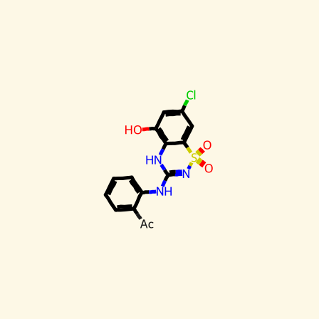 CC(=O)c1ccccc1NC1=NS(=O)(=O)c2cc(Cl)cc(O)c2N1